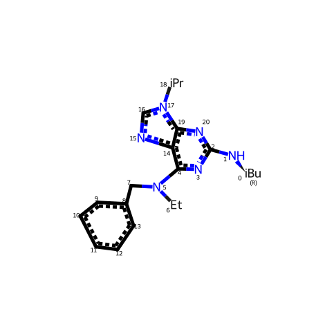 [CH2][C@H](CC)Nc1nc(N(CC)Cc2ccccc2)c2ncn(C(C)C)c2n1